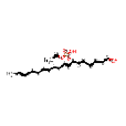 CCCCCCCCCCCCCCCCCCO.CCOS(=O)(=O)O